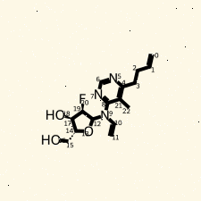 C=CCCc1ncnc(N(C=C)C2O[C@H](CO)[C@@H](O)[C@H]2F)c1C